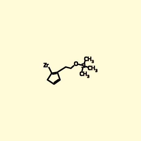 C[Si](C)(C)OCCC1=[C]([Zr])CC=C1